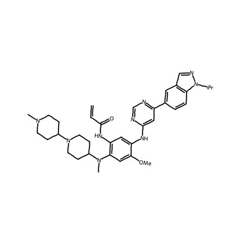 C=CC(=O)Nc1cc(Nc2cc(-c3ccc4c(cnn4C(C)C)c3)ncn2)c(OC)cc1N(C)C1CCN(C2CCN(C)CC2)CC1